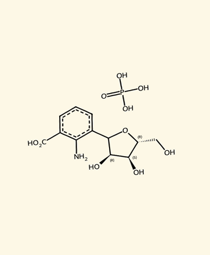 Nc1c(C(=O)O)cccc1C1O[C@H](CO)[C@@H](O)[C@H]1O.O=P(O)(O)O